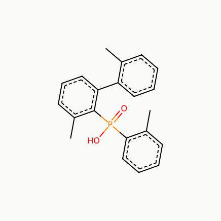 Cc1ccccc1-c1cccc(C)c1P(=O)(O)c1ccccc1C